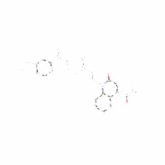 CNC(=O)c1cc(=O)n(CCN2CCC(N(C)c3ccc4c(c3)CCO4)CC2)c2cc(OC)ccc12